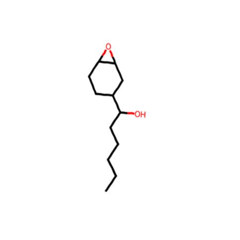 CCCCCC(O)C1CCC2OC2C1